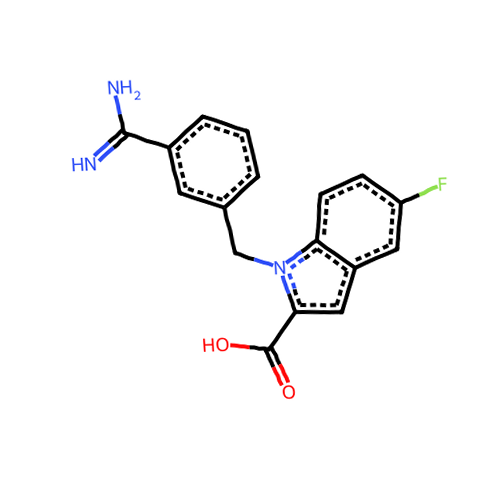 N=C(N)c1cccc(Cn2c(C(=O)O)cc3cc(F)ccc32)c1